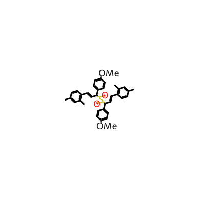 COc1ccc(C(/C=C/c2ccc(C)cc2C)S(=O)(=O)C(/C=C/c2ccc(C)cc2C)c2ccc(OC)cc2)cc1